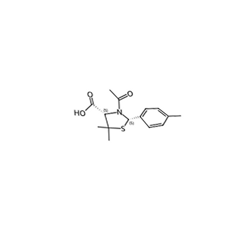 CC(=O)N1[C@@H](C(=O)O)C(C)(C)S[C@H]1c1ccc(C)cc1